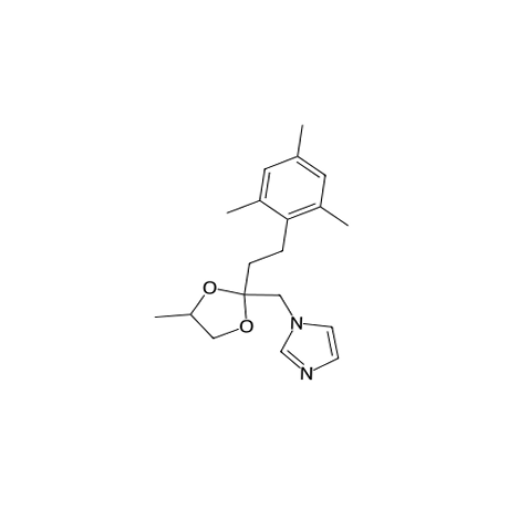 Cc1cc(C)c(CCC2(Cn3ccnc3)OCC(C)O2)c(C)c1